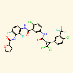 O=C(Nc1ccc(F)c(NC(=O)C2CCCO2)c1F)c1cc(NC(=O)[C@H]2[C@H](c3ccc(Cl)c(C(F)(F)F)c3)C2(Cl)Cl)ccc1Cl